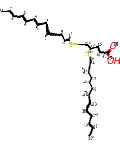 CCCCCCCCCCCCSCC(CCC(=O)O)SCCCCCCCCCCCC